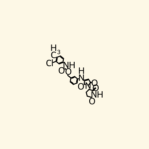 Cc1ccc(NC(=O)OCc2cccc(NC3=CC(=O)N(C4CCC(=O)NC4=O)C3=O)c2)cc1Cl